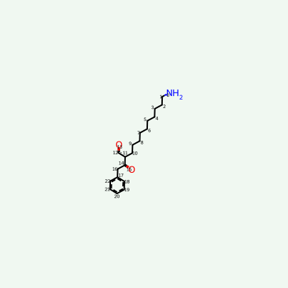 NCCCCCCCCCCC([C]=O)C(=O)Cc1ccccc1